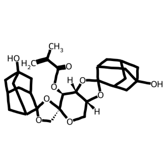 C=C(C)C(=O)O[C@H]1[C@@H]2OC3(O[C@@H]2CO[C@]12COC1(O2)C2CC4CC1CC(O)(C4)C2)C1CC2CC3CC(O)(C2)C1